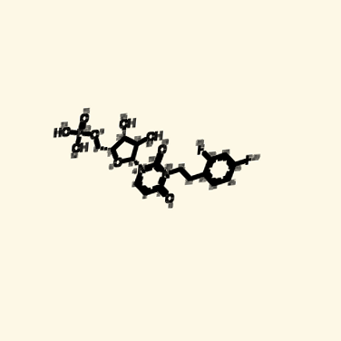 O=c1ccn([C@@H]2O[C@H](COP(=O)(O)O)[C@H](O)C2O)c(=O)n1CCc1ccc(F)cc1F